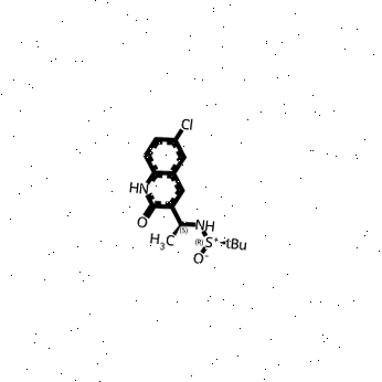 C[C@H](N[S@@+]([O-])C(C)(C)C)c1cc2cc(Cl)ccc2[nH]c1=O